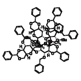 C[SiH](C)[C@]1(O[C@H]2[C@@H](OCc3ccccc3)[C@@H]3OC(c4ccccc4)OC[C@H]3O[C@@H]2[S+]([O-])[C@H]2O[C@@H]3COC(c4ccccc4)O[C@H]3[C@H](OCc3ccccc3)[C@@H]2O[C@@]2([SiH](C)C)O[C@@H]3COC(c4ccccc4)O[C@H]3[C@H](OCc3ccccc3)[C@@H]2OC(C)(C)C)O[C@@H]2COC(c3ccccc3)O[C@H]2[C@H](OCc2ccccc2)[C@@H]1OC(C)(C)C